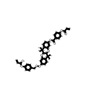 C=CC(=O)Oc1ccc(COOc2ccc3c(c2)OC2C(Oc4cc(OC(=O)c5ccc(OC(=O)C=C)cc5)ccc4C2(C)C)C3(C)C)cc1